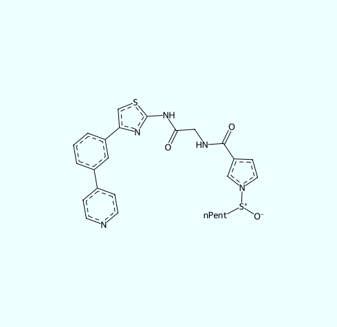 CCCCC[S+]([O-])n1ccc(C(=O)NCC(=O)Nc2nc(-c3cccc(-c4ccncc4)c3)cs2)c1